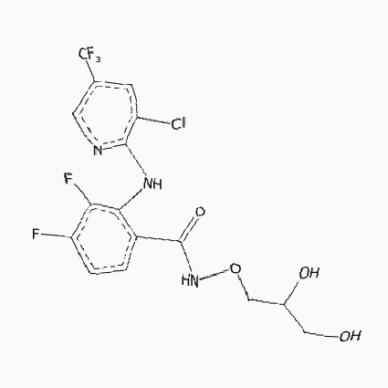 O=C(NOCC(O)CO)c1ccc(F)c(F)c1Nc1ncc(C(F)(F)F)cc1Cl